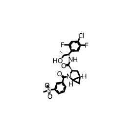 C[C@@H](O)[C@@H](NC(=O)[C@H]1C[C@H]2C[C@H]2N1C(=O)c1cccc(S(C)(=O)=O)c1)c1cc(F)c(Cl)cc1F